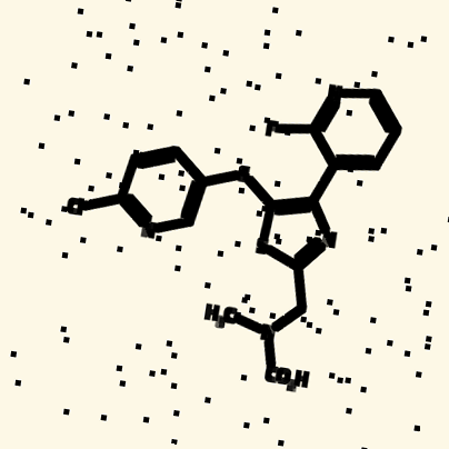 CN(Cc1nc(-c2cccnc2F)c(Sc2ccc(Cl)nc2)s1)C(=O)O